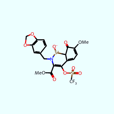 COC(=O)C1=C(OS(=O)(=O)C(F)(F)F)C2=CC=C(OC)C(=O)C2[S+]([O-])N1Cc1ccc2c(c1)OCO2